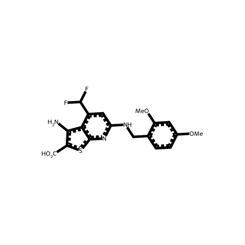 COc1ccc(CNc2cc(C(F)F)c3c(N)c(C(=O)O)sc3n2)c(OC)c1